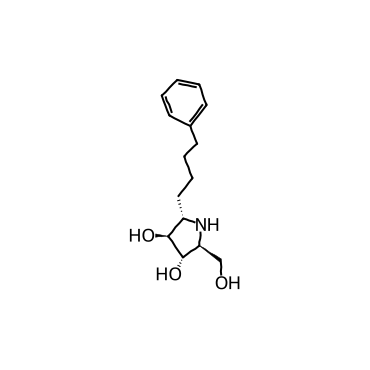 OC[C@@H]1N[C@@H](CCCCc2ccccc2)[C@H](O)[C@H]1O